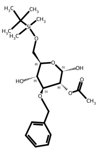 CC(=O)O[C@@H]1[C@@H](OCc2ccccc2)[C@H](O)[C@@H](CO[Si](C)(C)C(C)(C)C)O[C@@H]1O